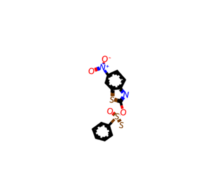 O=[N+]([O-])c1ccc2nc(OS(=O)(=S)c3ccccc3)sc2c1